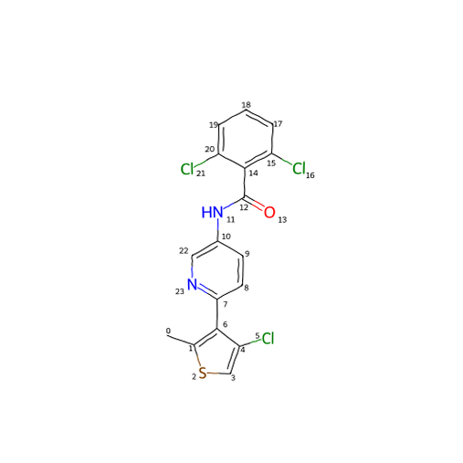 Cc1scc(Cl)c1-c1ccc(NC(=O)c2c(Cl)cccc2Cl)cn1